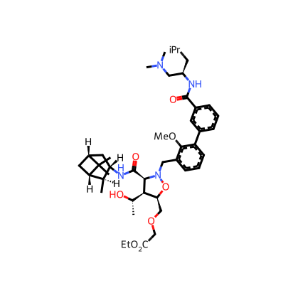 CCOC(=O)COC[C@@H]1ON(Cc2cccc(-c3cccc(C(=O)N[C@H](CC(C)C)CN(C)C)c3)c2OC)[C@H](C(=O)N[C@H]2C[C@H]3C[C@@H]([C@@H]2C)C3(C)C)[C@@H]1[C@H](C)O